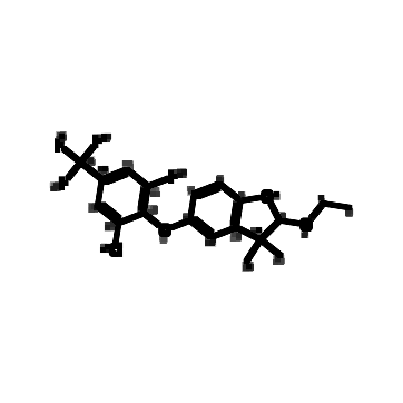 CCOC1Oc2ccc(Oc3c(F)cc(C(F)(F)F)cc3Cl)cc2C1(C)C